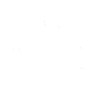 C[C@H](O)CNC(=O)c1ccc(-c2cnc3[nH]cc(/C=C/C(N)=O)c3c2)cn1